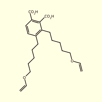 C=COCCCCCc1ccc(C(=O)O)c(C(=O)O)c1CCCCCOC=C